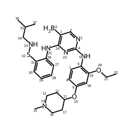 Bc1cnc(Nc2ccc(OC3CCN(C)CC3)cc2OCC)nc1Nc1ccccc1SNCC(C)C